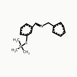 C[Si](C)(C)Sc1cccc(C=NCc2ccccc2)c1